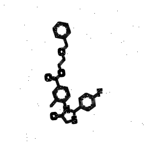 Cc1cc(C(=O)OCCOCc2ccccc2)ccc1N1C(=O)CSC1c1ccc(F)cc1